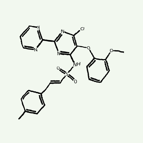 COc1ccccc1Oc1c(Cl)nc(-c2ncccn2)nc1NS(=O)(=O)C=Cc1ccc(C)cc1